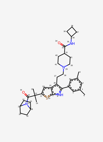 Cc1cc(C)cc(-c2[nH]c3sc(C(C)(C)C(=O)N4C5CCC4CC5)cc3c2CCN2CCC(C(=O)NC3CCC3)CC2)c1